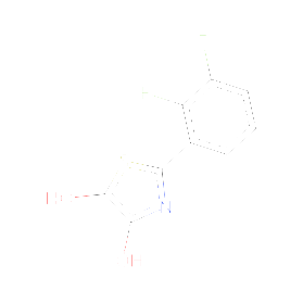 Oc1nc(-c2cccc(F)c2F)sc1O